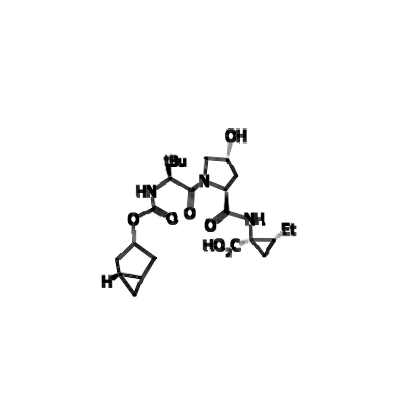 CC[C@@H]1C[C@]1(NC(=O)[C@@H]1C[C@@H](O)CN1C(=O)[C@@H](NC(=O)OC1CC2C[C@@H]2C1)C(C)(C)C)C(=O)O